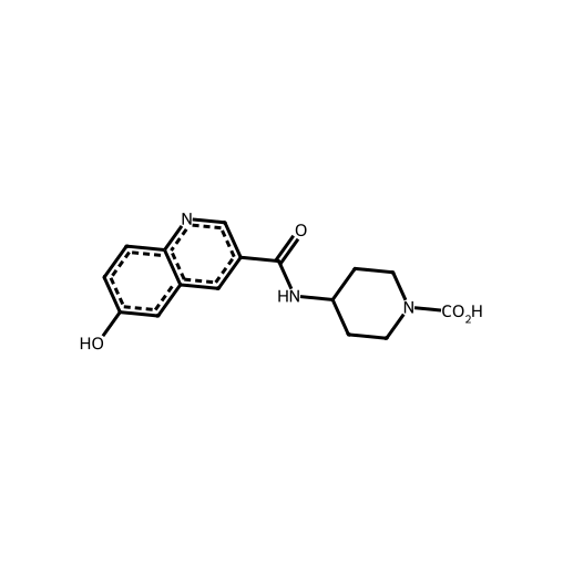 O=C(NC1CCN(C(=O)O)CC1)c1cnc2ccc(O)cc2c1